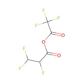 O=C(OC(=O)C(F)(F)F)C(F)C(F)F